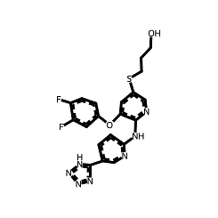 OCCCSc1cnc(Nc2ccc(-c3nnn[nH]3)cn2)c(Oc2ccc(F)c(F)c2)c1